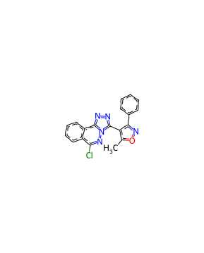 Cc1onc(-c2ccccc2)c1-c1nnc2c3ccccc3c(Cl)nn12